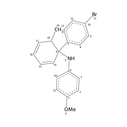 COc1ccc(NC2(c3ccc(Br)cc3)C=CC=CC2C)cc1